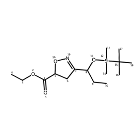 CCOC(=O)C1CC(C(CC)O[Si](C)(C)C(C)(C)C)=NO1